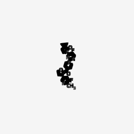 Cc1ncc([C@@H]2CCON2C(=O)C2CCN(c3ncc(F)c(N4CCC5(CC5)C4=O)n3)CC2)cc1F